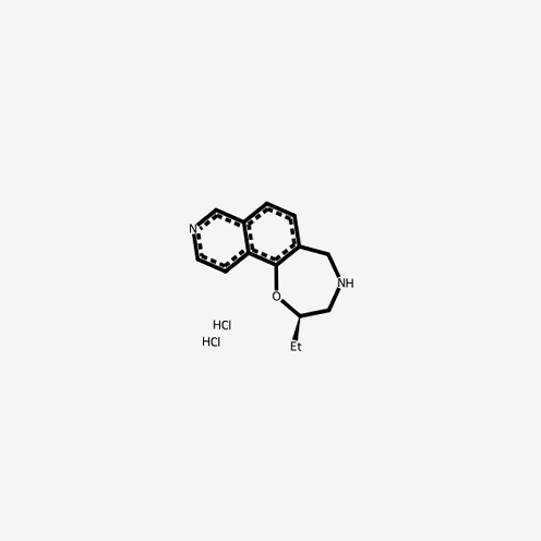 CC[C@@H]1CNCc2ccc3cnccc3c2O1.Cl.Cl